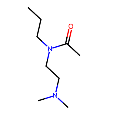 CCCN(CCN(C)C)C(C)=O